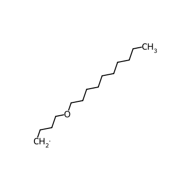 [CH2]CCCOCCCCCCCCCC